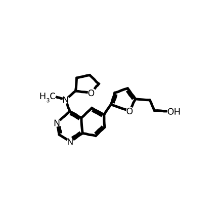 CN(c1ncnc2ccc(-c3ccc(CCO)o3)cc12)C1CCCO1